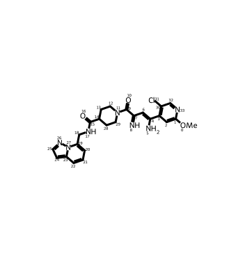 COc1cc(/C(N)=C/C(=N)C(=O)N2CCC(C(=O)NCc3cccc4ccnn34)CC2)c(Cl)cn1